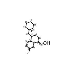 Cc1ccc2c(c1)C(=NO)CCC2CC1CCCCC1